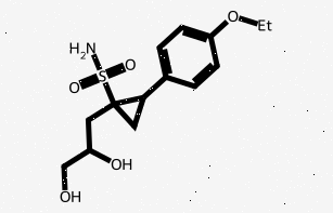 CCOc1ccc(C2CC2(CC(O)CO)S(N)(=O)=O)cc1